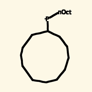 CCCCCCCC[P]C1CCCCCCCCCCC1